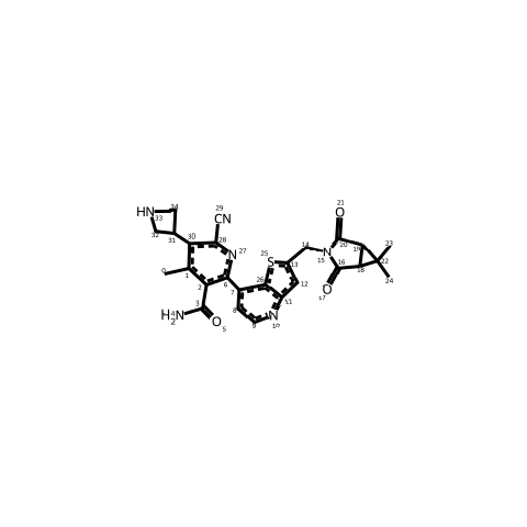 Cc1c(C(N)=O)c(-c2ccnc3cc(CN4C(=O)C5C(C4=O)C5(C)C)sc23)nc(C#N)c1C1CNC1